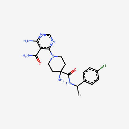 CCC(NC(=O)C1(N)CCN(c2ncnc(N)c2C(N)=O)CC1)c1ccc(Cl)cc1